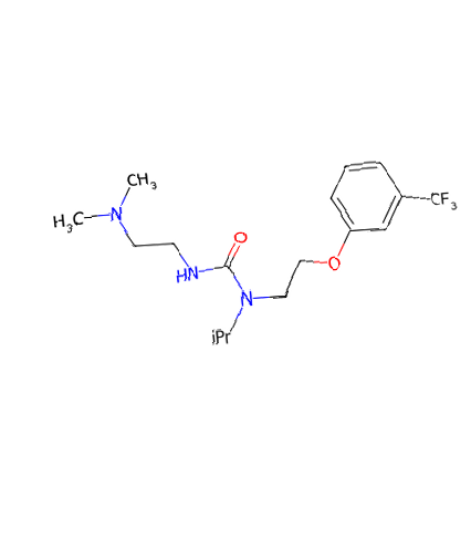 CC(C)N(CCOc1cccc(C(F)(F)F)c1)C(=O)NCCN(C)C